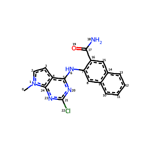 Cn1ccc2c(Nc3cc4ccccc4cc3C(N)=O)nc(Cl)nc21